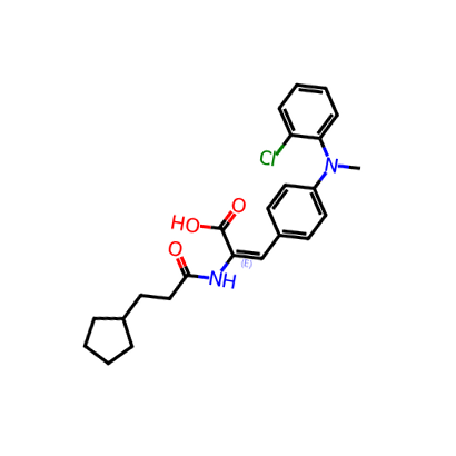 CN(c1ccc(/C=C(/NC(=O)CCC2CCCC2)C(=O)O)cc1)c1ccccc1Cl